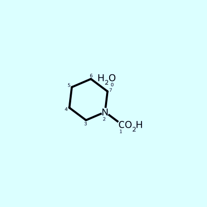 O.O=C(O)N1CCCCC1